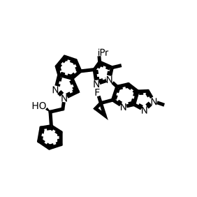 Cc1c(C(C)C)c(-c2cccc3nn(C[C@H](O)c4ccccc4)cc23)nn1-c1cc2cn(C)nc2nc1C1(F)CC1